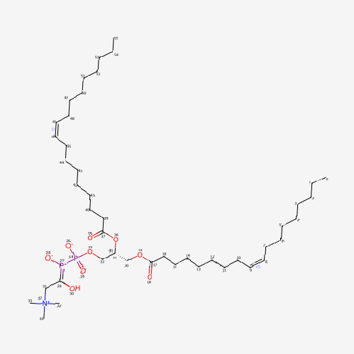 CCCCCCCC/C=C\CCCCCCCC(=O)OC[C@H](COP(=O)([O-])[P+]([O-])=C(O)C[N+](C)(C)C)OC(=O)CCCCCCC/C=C\CCCCCCCC